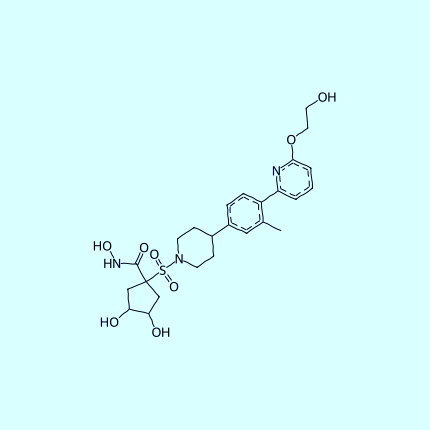 Cc1cc(C2CCN(S(=O)(=O)C3(C(=O)NO)CC(O)C(O)C3)CC2)ccc1-c1cccc(OCCO)n1